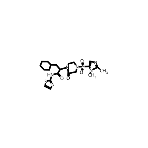 Cc1ncc(S(=O)(=O)N2CCN(C(CC3CCCCC3)C(=O)Nc3nccs3)C(=O)C2)n1C